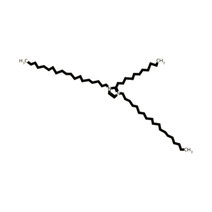 CCCCCCCCCCCCCCCCCCCn1cc[n+](CCCCCCCCCCCCCCCCCCC)c1CCCCCCCCCCC